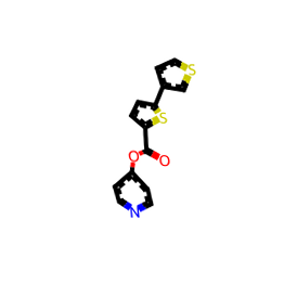 O=C(Oc1ccncc1)c1ccc(-c2ccsc2)s1